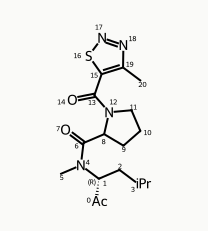 CC(=O)[C@@H](CC(C)C)N(C)C(=O)C1CCCN1C(=O)c1snnc1C